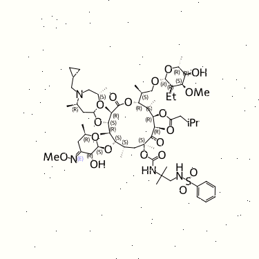 CC[C@H]1[C@H](OC[C@H](C)[C@H]2OC(=O)[C@H](C)[C@@H](OC3C[C@@H](C)N(CC4CC4)C[C@H](C)O3)[C@H](C)[C@@H](O[C@@H]3O[C@H](C)C/C(=N\OC)[C@H]3O)[C@@H](C)C[C@](C)(OC(=O)NC(C)(C)CNS(=O)(=O)c3ccccc3)C(=O)[C@H](C)[C@H](OC(=O)CC(C)C)[C@H]2C)O[C@H](C)[C@@H](O)[C@H]1OC